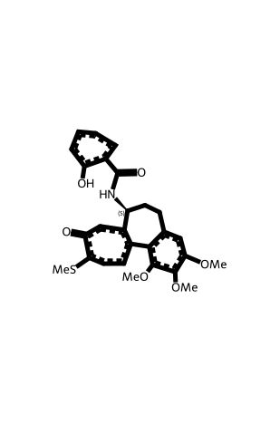 COc1cc2c(c(OC)c1OC)-c1ccc(SC)c(=O)cc1[C@@H](NC(=O)c1ccccc1O)CC2